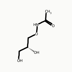 CC(=O)NOC[C@H](O)CO